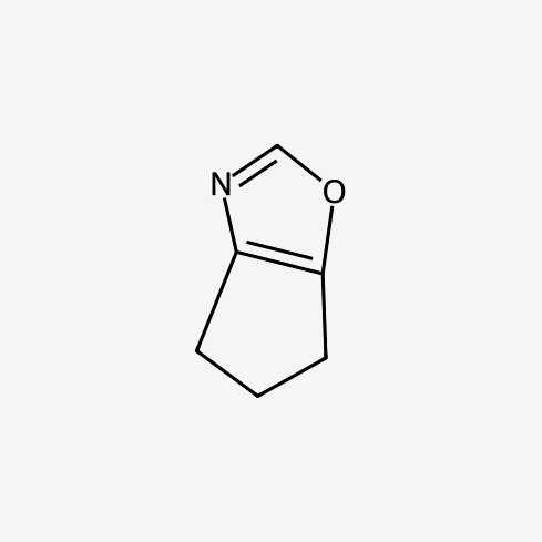 c1nc2c(o1)CCC2